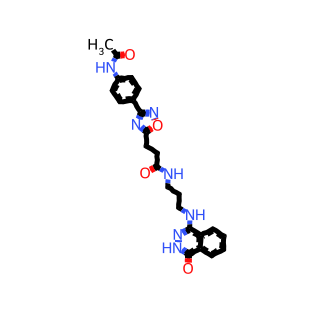 CC(=O)Nc1ccc(-c2noc(CCC(=O)NCCCNc3n[nH]c(=O)c4ccccc34)n2)cc1